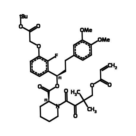 C=CC(=O)OCC(C)(C)C(=O)C(=O)N1CCCC[C@H]1C(=O)O[C@H](CCc1ccc(OC)c(OC)c1)c1cccc(OCC(=O)OC(C)(C)C)c1F